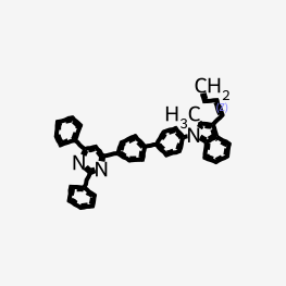 C=C/C=C\c1c(C)n(-c2ccc(-c3ccc(-c4cc(-c5ccccc5)nc(-c5ccccc5)n4)cc3)cc2)c2ccccc12